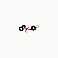 O=C(OCc1ccc(Cl)cc1)n1ccc2ccccc21